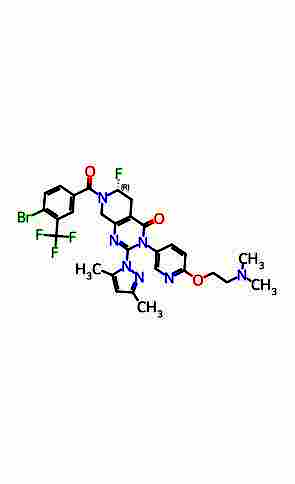 Cc1cc(C)n(-c2nc3c(c(=O)n2-c2ccc(OCCN(C)C)nc2)C[C@@H](F)N(C(=O)c2ccc(Br)c(C(F)(F)F)c2)C3)n1